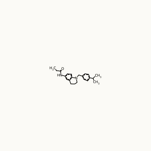 CCC(=O)Nc1ccc2c(c1)CCCN2Cc1ccc(C(C)C)cc1